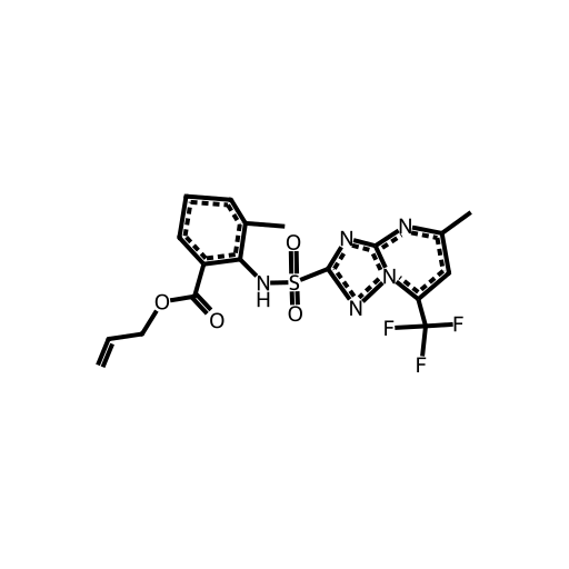 C=CCOC(=O)c1cccc(C)c1NS(=O)(=O)c1nc2nc(C)cc(C(F)(F)F)n2n1